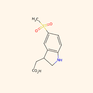 CS(=O)(=O)c1ccc2c(c1)C(CC(=O)O)CN2